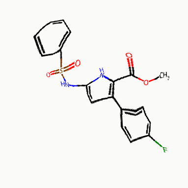 COC(=O)c1[nH]c(NS(=O)(=O)c2ccccc2)cc1-c1ccc(F)cc1